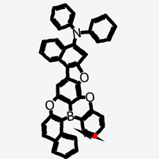 c1ccc(N(c2ccccc2)c2cc3oc4c5c6c(cc4c3c3ccccc23)Oc2ccc3ccccc3c2B6c2c(ccc3ccccc23)O5)cc1